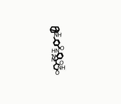 Cn1nc(C2CCC(=O)NC2=O)c2cccc(NC(=O)c3ccc(CNC45CC6CC(CC(C6)C4)C5)cc3)c21